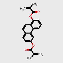 C=C(C)C(=O)Oc1ccc2ccc3c(OC(=O)C(=C)C)cccc3c2c1